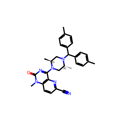 Cc1ccc(C(c2ccc(C)cc2)N2C[C@H](C)N(c3nc(=O)n(C)c4ccc(C#N)nc34)C[C@H]2C)cc1